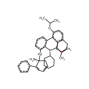 CC(C)Oc1cccc(OC(C)C)c1-c1ccc[c]([Pd][C]2(N)CC=CC=C2c2ccccc2)c1P(C1CCCCC1)C1CCCCC1